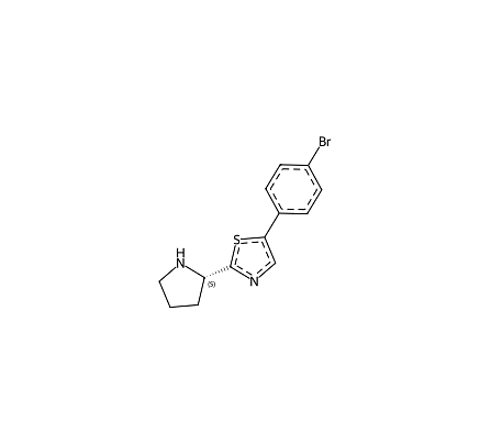 Brc1ccc(-c2cnc([C@@H]3CCCN3)s2)cc1